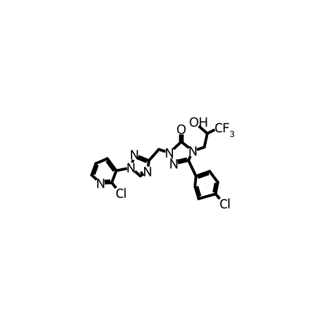 O=c1n(Cc2ncn(-c3cccnc3Cl)n2)nc(-c2ccc(Cl)cc2)n1CC(O)C(F)(F)F